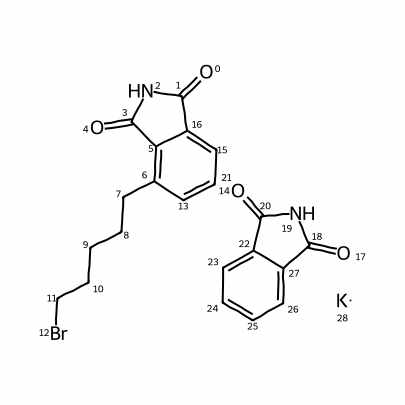 O=C1NC(=O)c2c(CCCCCBr)cccc21.O=C1NC(=O)c2ccccc21.[K]